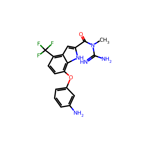 CN(C(=N)N)C(=O)c1cc2c(C(F)(F)F)ccc(Oc3cccc(N)c3)c2[nH]1